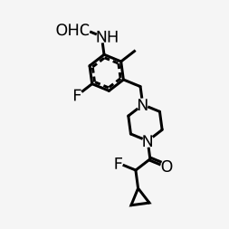 Cc1c(CN2CCN(C(=O)C(F)C3CC3)CC2)cc(F)cc1NC=O